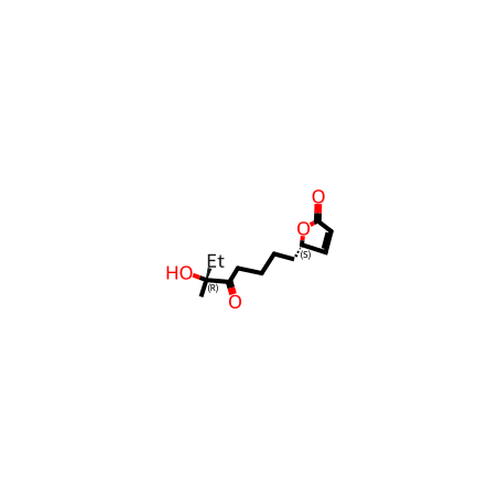 CC[C@@](C)(O)C(=O)CCCC[C@H]1C=CC(=O)O1